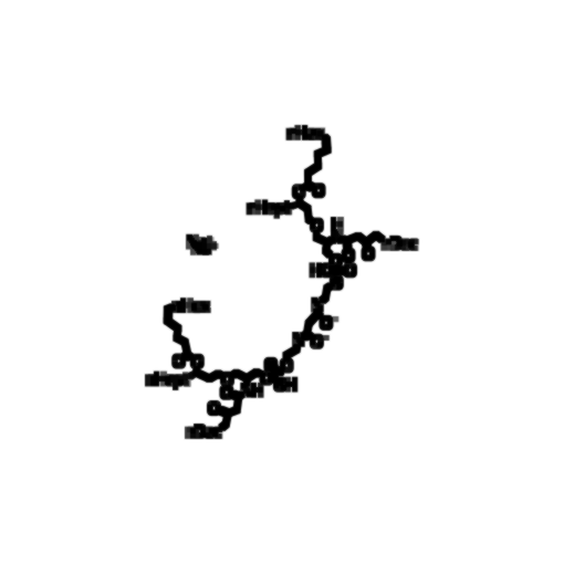 CCCCCC/C=C\CCCC(=O)O[C@H](CCCCCCC)CCOCC(COP(=O)(O)OCCN=C([O-])CC([O-])=NCCOP(=O)(O)OCC(COCC[C@@H](CCCCCCC)OC(=O)CCC/C=C\CCCCCC)NC(=O)CC(=O)CCCCCCCCCCC)NC(=O)CC(=O)CCCCCCCCCCC.[Na+].[Na+]